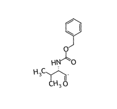 CC(C)[C@@H]([C]=O)NC(=O)OCc1ccccc1